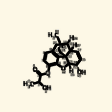 CC(O)C(=O)Oc1ccc2c3c1O[C@H]1[C@@H](O)C=C[C@H]4[C@@H](C2)N(C)CC[C@@]341